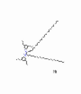 CCCCCCCCCCCCCCCCCCCC/C=C/C(=N\c1cc(CCC)cc(CCC)c1)C(/C#CCCCCCCCCCCCCCCCCCCCCCCC)=N/c1cc(CCC)cc(CCC)c1.[Ni]